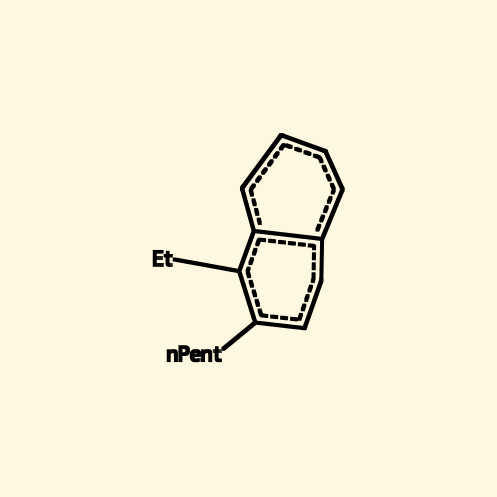 CCCCCc1ccc2ccccc2c1CC